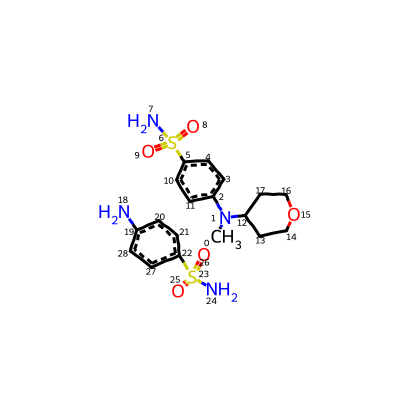 CN(c1ccc(S(N)(=O)=O)cc1)C1CCOCC1.Nc1ccc(S(N)(=O)=O)cc1